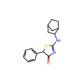 O=C1N=C(NC2CC3CCC2C3)SC1c1ccccc1